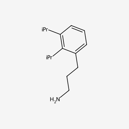 CC(C)c1cccc(CCCN)c1C(C)C